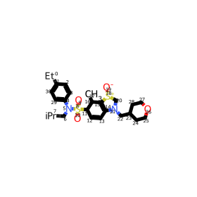 CCc1ccc(N(CC(C)C)S(=O)(=O)C2C=CC3=C(C2C)[S+]([O-])CN3CC2CCOCC2)cc1